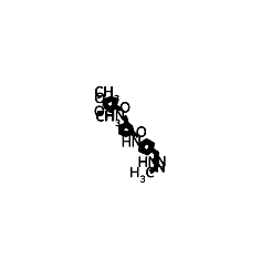 COc1ccc(C(=O)NCc2cccc(C(=O)Nc3ccc(Cc4nnc(C)[nH]4)cc3)c2)cc1OC